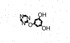 Oc1cc(O)cc(Oc2ncncn2)c1